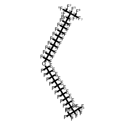 FC(F)(F)C(F)(C(F)(F)F)C(F)(Br)C(F)(F)C(F)(F)C(F)(F)C(F)(F)C(F)(F)C(F)(F)C(F)(F)C(F)(F)C(F)(F)OC(F)(F)C(F)(F)C(F)(F)C(F)(F)C(F)(F)C(F)(F)C(F)(F)C(F)(F)C(F)(F)C(F)(Br)C(F)(C(F)(F)F)C(F)(F)F